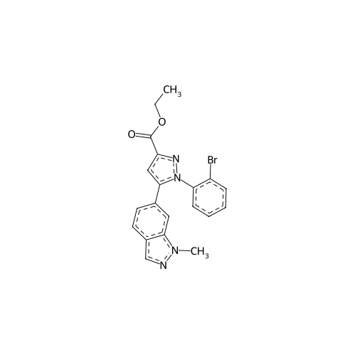 CCOC(=O)c1cc(-c2ccc3cnn(C)c3c2)n(-c2ccccc2Br)n1